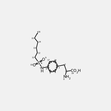 NC(Cc1ccc(NS(=O)(=O)CCCCCI)cc1)C(=O)O